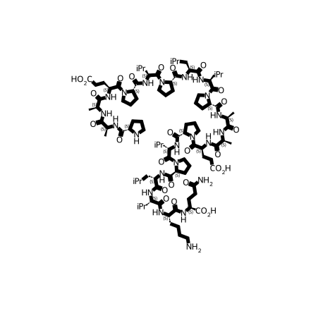 CC(C)C[C@H](NC(=O)[C@@H]1CCCN1C(=O)[C@@H](NC(=O)[C@@H]1CCCN1C(=O)[C@H](CCC(=O)O)NC(=O)[C@H](C)NC(=O)[C@H](C)NC(=O)[C@@H]1CCCN1C(=O)[C@@H](NC(=O)[C@H](CC(C)C)NC(=O)[C@@H]1CCCN1C(=O)[C@@H](NC(=O)[C@@H]1CCCN1C(=O)[C@H](CCC(=O)O)NC(=O)[C@H](C)NC(=O)[C@H](C)NC(=O)[C@@H]1CCCN1)C(C)C)C(C)C)C(C)C)C(=O)N[C@H](C(=O)N[C@@H](CCCCN)C(=O)N[C@@H](CCC(N)=O)C(=O)O)C(C)C